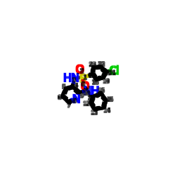 O=S(=O)(Nc1cccnc1Nc1ccccc1)c1ccc(Cl)cc1